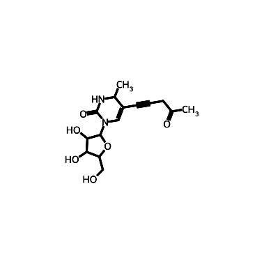 CC(=O)CC#CC1=CN(C2OC(CO)C(O)C2O)C(=O)NC1C